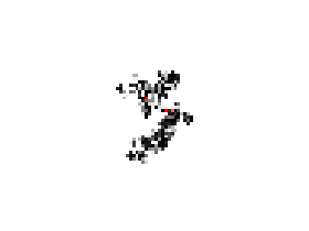 CC[C@@]1(O)C(=O)OCc2c1cc1n(c2=O)Cc2c-1nc1cc(F)c(C)c3c1c2[C@@H](NC(=O)[C@H](OCNC(=O)CNC(=O)[C@H](Cc1ccccc1)NC(=O)CNC(=O)CNC(=O)C(CNC(CCC(=O)O)C(=O)O)N1C(=O)C=CC1=O)C(F)(F)F)CC3